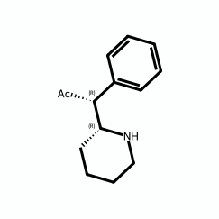 CC(=O)[C@H](c1ccccc1)[C@H]1CCCCN1